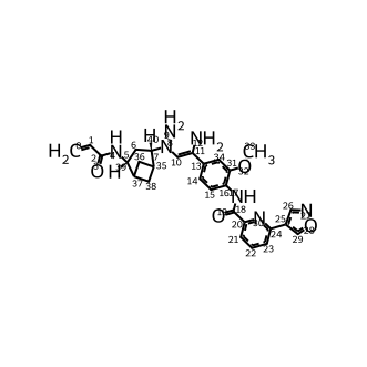 C=CC(=O)N[C@@H]1C[C@H](N(N)/C=C(\N)c2ccc(NC(=O)c3cccc(-c4cnoc4)n3)c(OC)c2)C2CC1C2